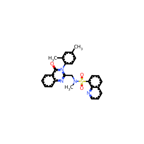 Cc1ccc(-n2c(CN(C)S(=O)(=O)c3cccc4cccnc34)nc3ccccc3c2=O)c(C)c1